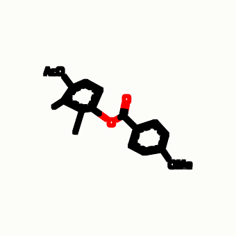 COc1ccc(C(=O)Oc2ccc(OC(C)=O)c(C)c2C)cc1